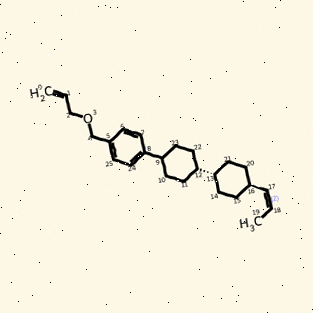 C=CCOCc1ccc(C2CCC([C@H]3CC[C@H](/C=C\C)CC3)CC2)cc1